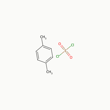 Cc1ccc(C)cc1.O=S(=O)(Cl)Cl